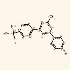 Cc1cc(-c2ccc(F)cc2)nc(-c2ccc(C(F)(F)F)cc2)c1